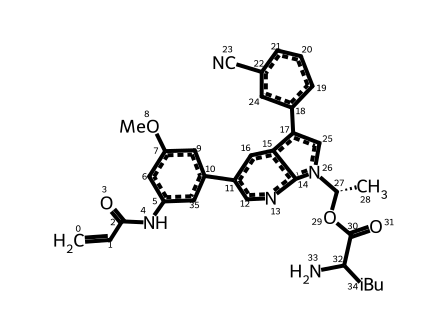 C=CC(=O)Nc1cc(OC)cc(-c2cnc3c(c2)c(-c2cccc(C#N)c2)cn3[C@H](C)OC(=O)C(N)C(C)CC)c1